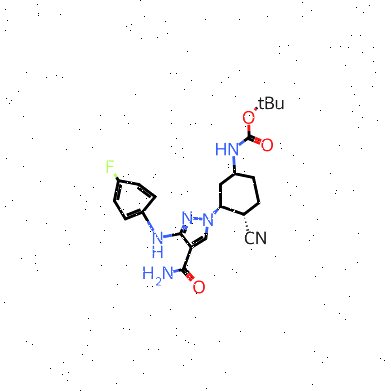 CC(C)(C)OC(=O)NC1CC[C@H](C#N)[C@@H](n2cc(C(N)=O)c(Nc3ccc(F)cc3)n2)C1